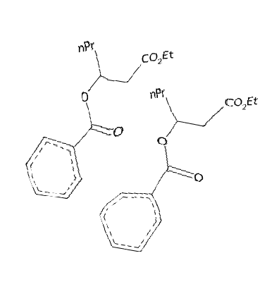 CCCC(CC(=O)OCC)OC(=O)c1ccccc1.CCCC(CC(=O)OCC)OC(=O)c1ccccc1